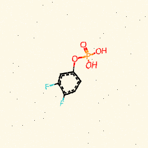 O=P(O)(O)Oc1ccc(F)c(F)c1